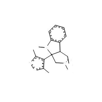 Cc1noc(C)c1C1(CN(C)C)C(CO)c2ccccc2N1C